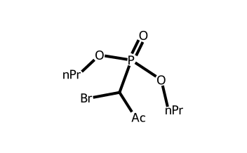 CCCOP(=O)(OCCC)C(Br)C(C)=O